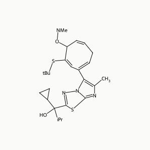 CNOC1/C=C\CC=C(c2c(C)nc3sc(C(O)(C(C)C)C4CC4)nn23)/C=C\1SC(C)(C)C